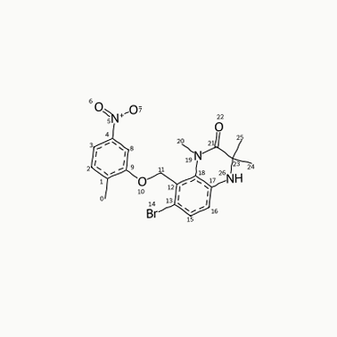 Cc1ccc([N+](=O)[O-])cc1OCc1c(Br)ccc2c1N(C)C(=O)C(C)(C)N2